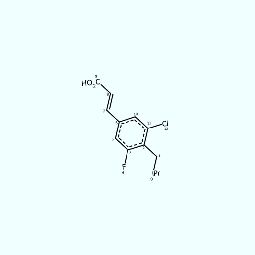 CC(C)Cc1c(F)cc(/C=C/C(=O)O)cc1Cl